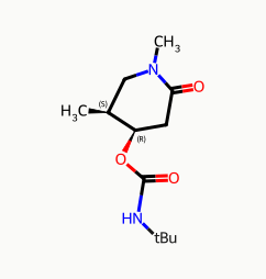 C[C@H]1CN(C)C(=O)C[C@H]1OC(=O)NC(C)(C)C